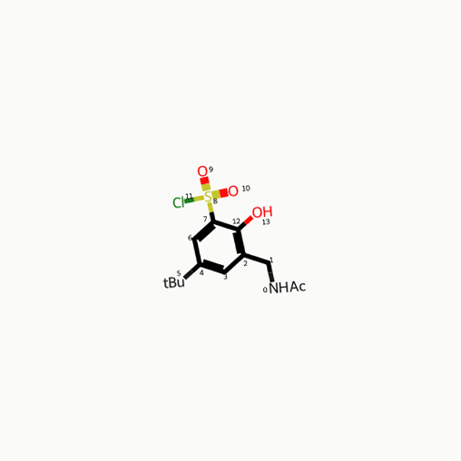 CC(=O)NCc1cc(C(C)(C)C)cc(S(=O)(=O)Cl)c1O